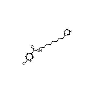 O=C(NCCCCCCCCn1ccnc1)c1ccc(Cl)nc1